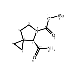 CC(C)(C)OC(=O)N1CCC2(CC2)[C@@H]1C(N)=O